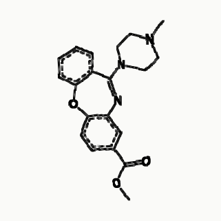 COC(=O)c1ccc2c(c1)N=C(N1CCN(C)CC1)c1ccccc1O2